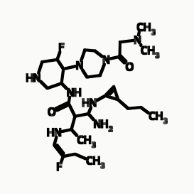 CCCC1C=C1NC(N)C(C(=O)NC1CNCC(F)C1N1CCN(C(=O)CN(C)C)CC1)C(C)N/C=C(/F)CC